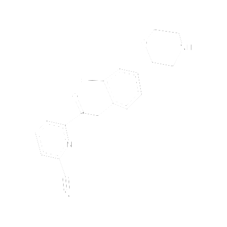 N#Cc1cccc(C(=O)Cc2ccc([C@H]3CNCCO3)cc2Cl)n1